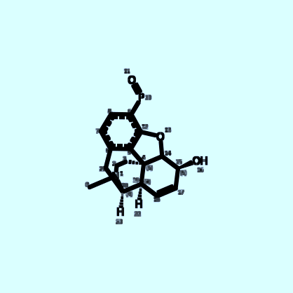 CN1CC[C@]23c4c5ccc(P=O)c4OC2[C@@H](O)C=C[C@H]3[C@H]1C5